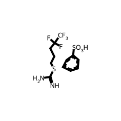 N=C(N)SCCCC(F)(F)C(F)(F)F.O=S(=O)(O)c1ccccc1